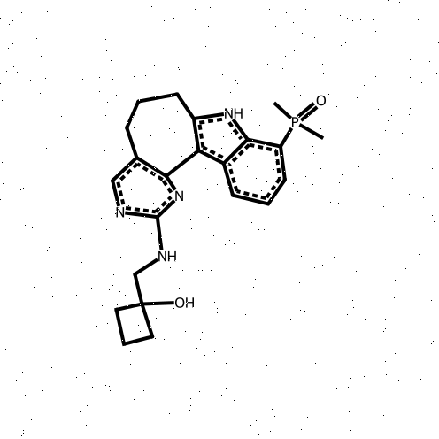 CP(C)(=O)c1cccc2c3c([nH]c12)CCCc1cnc(NCC2(O)CCC2)nc1-3